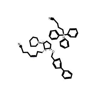 N#CCC/C=C\CC[C@H]1[C@@H](OCc2ccc(-c3ccccc3)cc2)CC[C@@H]1N1CCCCC1.N#CCCC[PH](c1ccccc1)(c1ccccc1)c1ccccc1